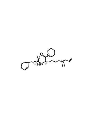 C=CCNCCCC[C@H](NC(=O)OCc1ccccc1)C(=O)N1CCCCC1